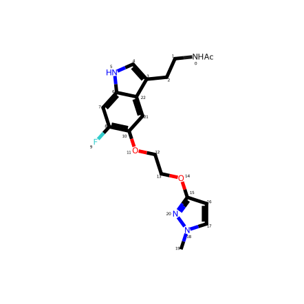 CC(=O)NCCc1c[nH]c2cc(F)c(OCCOc3ccn(C)n3)cc12